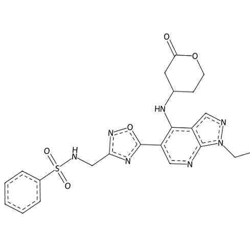 CCn1ncc2c(NC3CCOC(=O)C3)c(-c3nc(CNS(=O)(=O)c4ccccc4)no3)cnc21